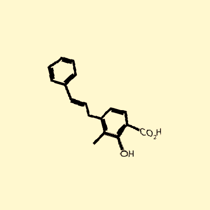 Cc1c(CC=Cc2ccccc2)ccc(C(=O)O)c1O